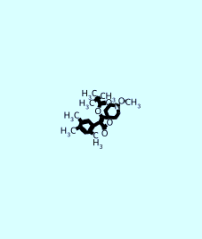 CON1CCC2(CC1)OC(=O)C(c1cc(C)c(C)cc1C)=C2OC(=O)C(C)(C)C